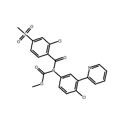 COC(=O)N(C(=O)c1ccc(S(C)(=O)=O)cc1Cl)c1ccc(Cl)c(-c2ccccn2)c1